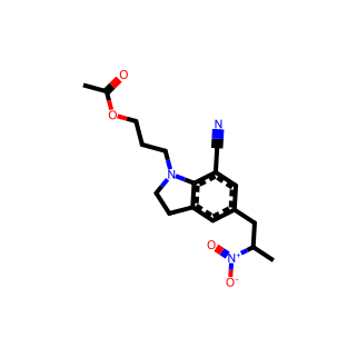 CC(=O)OCCCN1CCc2cc(CC(C)[N+](=O)[O-])cc(C#N)c21